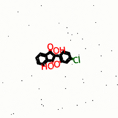 O=C1c2ccccc2C2(O)Oc3cc(Cl)ccc3C12O